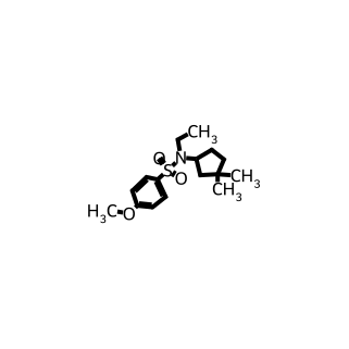 CCN(C1CCC(C)(C)C1)S(=O)(=O)c1ccc(OC)cc1